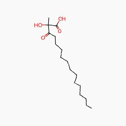 CCCCCCCCCCCCCC(=O)C(C)(O)C(=O)O